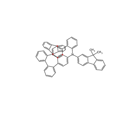 CC1(C)c2ccccc2-c2ccc(N(c3ccc4c(c3)C3(c5ccccc5-c5ccccc5-4)c4ccccc4-c4ccccc43)c3ccccc3-c3ccccc3)cc21